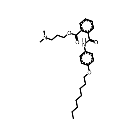 CCCCCCCCOc1ccc(NC(=O)c2ccccc2C(=O)OCCCN(C)C)cc1